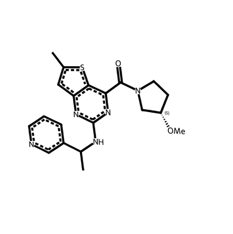 CO[C@H]1CCN(C(=O)c2nc(NC(C)c3cccnc3)nc3cc(C)sc23)C1